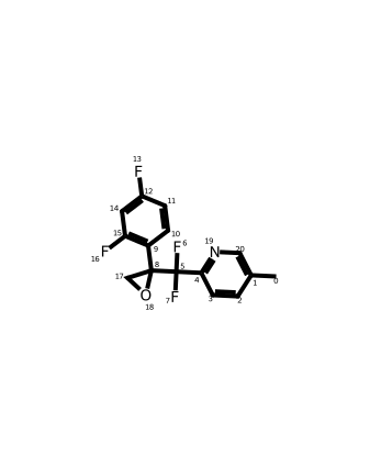 Cc1ccc(C(F)(F)C2(c3ccc(F)cc3F)CO2)nc1